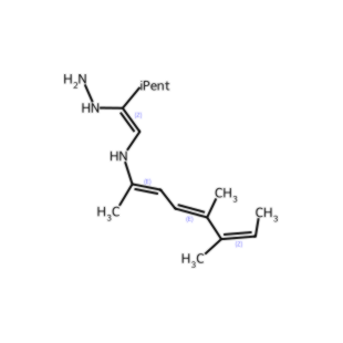 C\C=C(C)/C(C)=C/C=C(\C)N/C=C(\NN)C(C)CCC